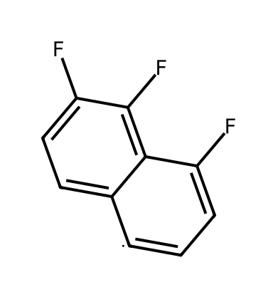 Fc1ccc2[c]ccc(F)c2c1F